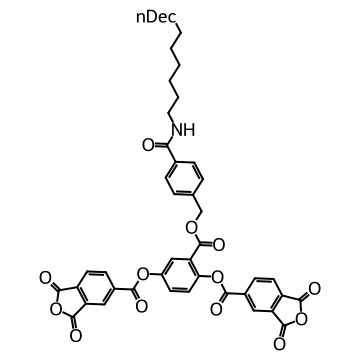 CCCCCCCCCCCCCCCCNC(=O)c1ccc(COC(=O)c2cc(OC(=O)c3ccc4c(c3)C(=O)OC4=O)ccc2OC(=O)c2ccc3c(c2)C(=O)OC3=O)cc1